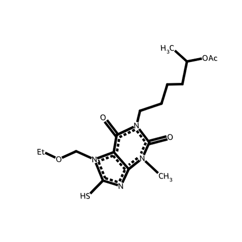 CCOCn1c(S)nc2c1c(=O)n(CCCCC(C)OC(C)=O)c(=O)n2C